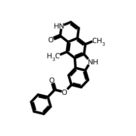 Cc1c2cc[nH]c(=O)c2c(C)c2c1[nH]c1ccc(OC(=O)c3ccccc3)cc12